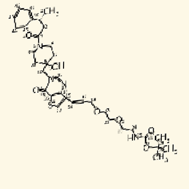 C[C@H](CC(=O)N1CCC(O)(Cn2cnc3c(C#CCOCCOCCNC(=O)OC(C)(C)C)csc3c2=O)CC1)c1ccccc1